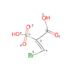 O=C(O)C(=CBr)S(=O)(=O)O